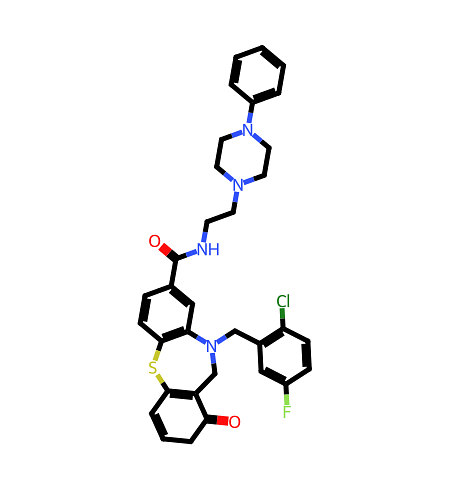 O=C1CC=CC2=C1CN(Cc1cc(F)ccc1Cl)c1cc(C(=O)NCCN3CCN(c4ccccc4)CC3)ccc1S2